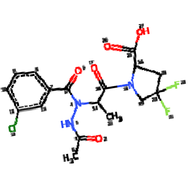 CC(=O)NN(C(=O)c1cccc(Cl)c1)C(C)C(=O)N1CC(F)(F)CC1C(=O)O